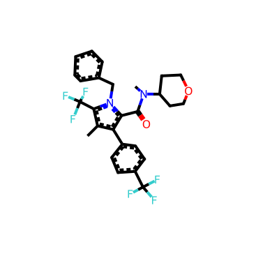 Cc1c(-c2ccc(C(F)(F)F)cc2)c(C(=O)N(C)C2CCOCC2)n(Cc2ccccc2)c1C(F)(F)F